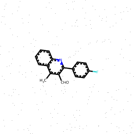 Cc1c(C=O)c(-c2ccc(F)cc2)nc2ccccc12